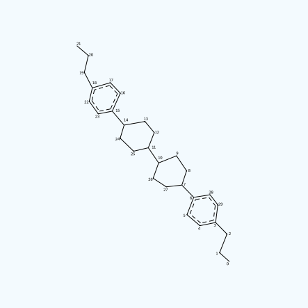 CCCc1ccc(C2CCC(C3CCC(c4ccc(CCC)cc4)CC3)CC2)cc1